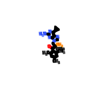 COC(P)(Cn1cnc2c(C3CC3)nc(N)nc21)C(=O)c1c(C)cc(C)cc1C